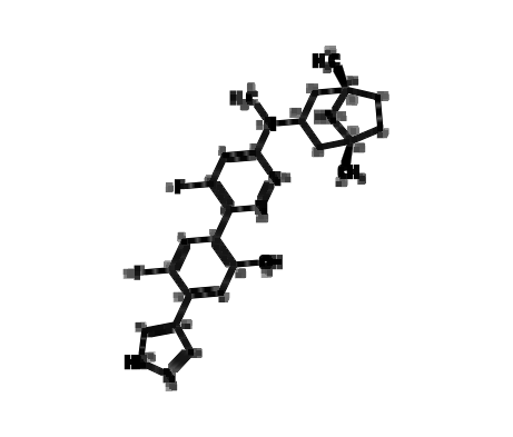 CN(c1cc(F)c(-c2cc(F)c(-c3cn[nH]c3)cc2O)nn1)C1C[C@]2(C)CC[C@](C)(C1)N2